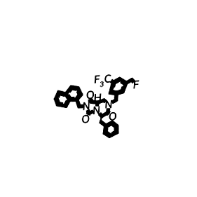 O=C1[C@@H](Cc2ccccc2)N2C(=O)N(Cc3cccc4ccccc34)C(=O)[C@@H]2CN1Cc1cc(CF)cc(C(F)(F)F)c1